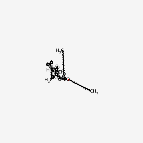 CCCCCCCCCCCCCCCCCCCCCCOc1ccc(CNC(=O)COc2ccc(C(NC(=O)[C@H](CCCc3cc(C)cc(C)c3)NC(=O)OCC3c4ccccc4-c4ccccc43)c3ccc(OC)cc3OC)cc2)c(OCCCCCCCCCCCCCCCCCCCCCC)c1